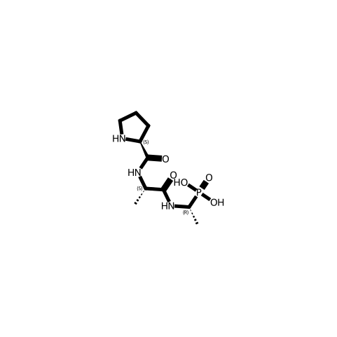 C[C@H](NC(=O)[C@@H]1CCCN1)C(=O)N[C@@H](C)P(=O)(O)O